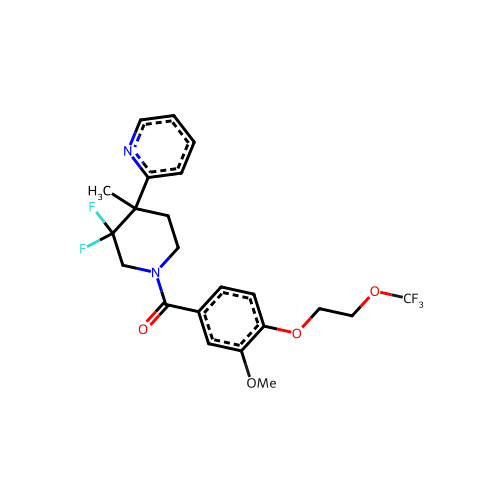 COc1cc(C(=O)N2CCC(C)(c3ccccn3)C(F)(F)C2)ccc1OCCOC(F)(F)F